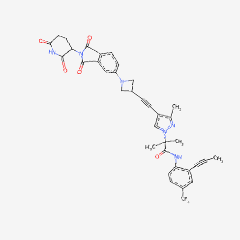 CC#Cc1cc(C(F)(F)F)ccc1NC(=O)C(C)(C)n1cc(C#CC2CN(c3ccc4c(c3)C(=O)N(C3CCC(=O)NC3=O)C4=O)C2)c(C)n1